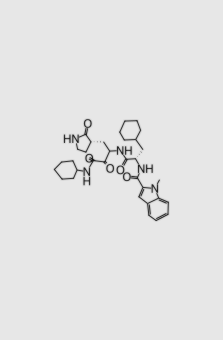 Cn1c(C(=O)N[C@@H](CC2CCCCC2)C(=O)NC(C[C@@H]2CCNC2=O)C(=O)C(=O)NC2CCCCC2)cc2ccccc21